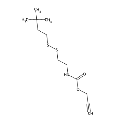 C#CCOC(=O)NCCSSCCC(C)(C)C